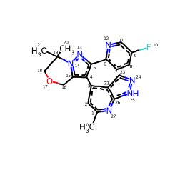 Cc1cc(-c2c(-c3ccc(F)cn3)nn3c2COCC3(C)C)c2cn[nH]c2n1